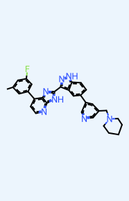 Cc1cc(F)cc(-c2ccnc3[nH]c(-c4n[nH]c5ccc(-c6cncc(CN7CCCCC7)c6)cc45)nc23)c1